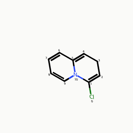 ClC1=CCC=C2C=CC=CN12